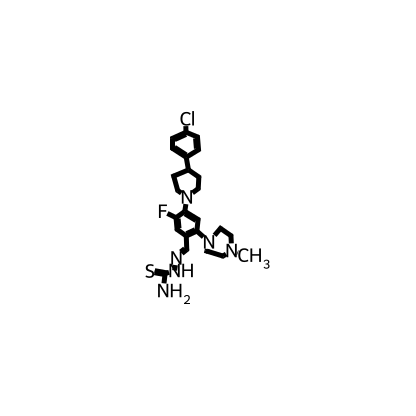 CN1CCN(c2cc(N3CCC(c4ccc(Cl)cc4)CC3)c(F)cc2C=NNC(N)=S)CC1